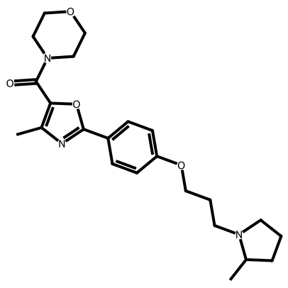 Cc1nc(-c2ccc(OCCCN3CCCC3C)cc2)oc1C(=O)N1CCOCC1